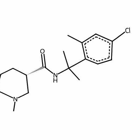 Cc1cc(Cl)ccc1C(C)(C)NC(=O)[C@H]1CCCN(C)C1